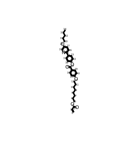 C=CC(=O)OCCCCCCCCOc1ccc(C(=O)Oc2ccc(-c3ccc(OCCCCC)cn3)cc2)cc1